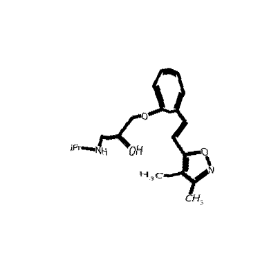 Cc1noc(C=Cc2ccccc2OCC(O)CNC(C)C)c1C